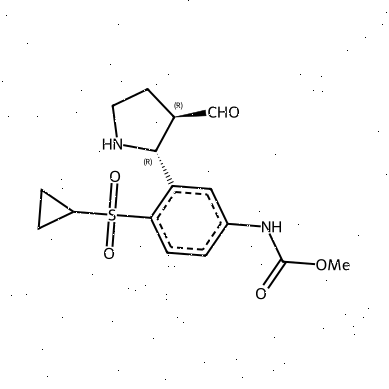 COC(=O)Nc1ccc(S(=O)(=O)C2CC2)c([C@@H]2NCC[C@H]2C=O)c1